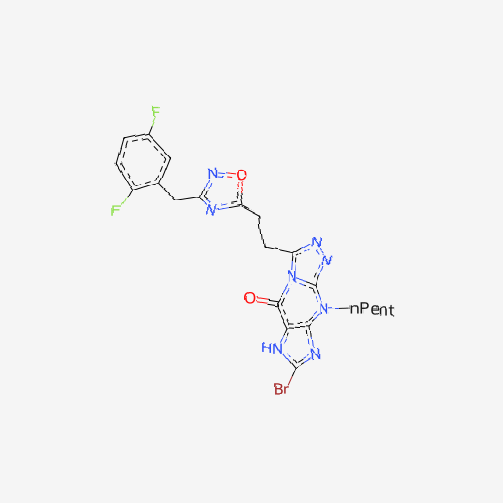 CCCCCn1c2nc(Br)[nH]c2c(=O)n2c(CCc3nc(Cc4cc(F)ccc4F)no3)nnc12